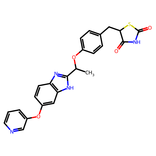 CC(Oc1ccc(CC2SC(=O)NC2=O)cc1)c1nc2ccc(Oc3cccnc3)cc2[nH]1